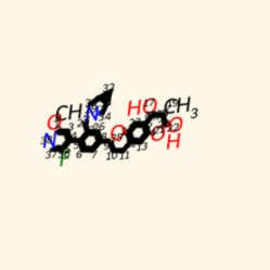 COc1cc(-c2ccc(C3CCc4ccc([C@H](O)[C@H](C)C(=O)O)cc4O3)cc2CN2CC3CC3C2)c(F)cn1